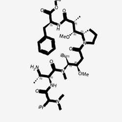 CC[C@H](C)[C@@H]([C@@H](CC(=O)N1CCC[C@H]1[C@H](OC)[C@@H](C)C(=O)N[C@@H](Cc1ccccc1)C(=O)OC(C)(C)C)OC)N(C)C(=O)[C@@H](NC(=O)C(C(C)C)N(C)C)[C@H](C)N